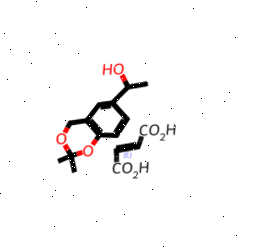 CC(O)c1ccc2c(c1)COC(C)(C)O2.O=C(O)/C=C/C(=O)O